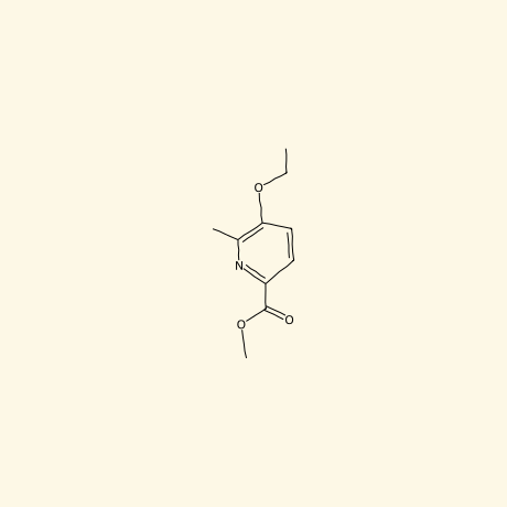 CCOc1ccc(C(=O)OC)nc1C